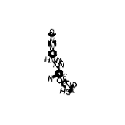 C[C@H](O)C(=O)N1CC[C@H](Oc2ccc(-c3ncnc(Nc4ccc(N5CCN(C6COC6)CC5)cc4)n3)cc2C#N)[C@@H](F)C1